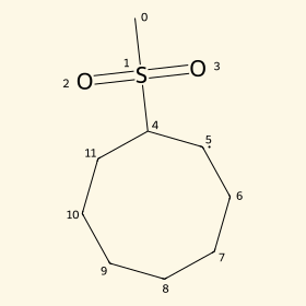 CS(=O)(=O)C1[CH]CCCCCC1